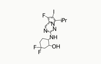 CC(C)c1c(I)c(F)c2cnc(NC3CCC(F)(F)CC3O)nn12